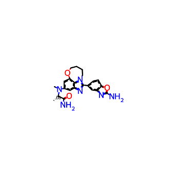 C[C@@H](C(N)=O)N(C)c1cc2c3c(c1)nc(-c1ccc4oc(N)nc4c1)n3CCCCO2